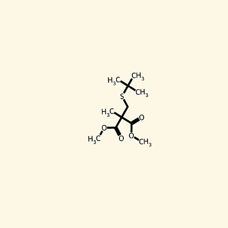 COC(=O)C(C)(CSC(C)(C)C)C(=O)OC